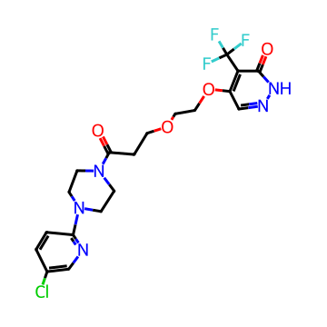 O=C(CCOCCOc1cn[nH]c(=O)c1C(F)(F)F)N1CCN(c2ccc(Cl)cn2)CC1